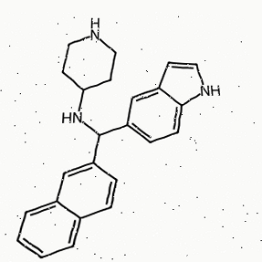 c1ccc2cc(C(NC3CCNCC3)c3ccc4[nH]ccc4c3)ccc2c1